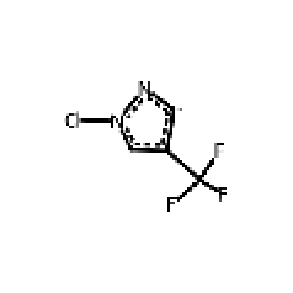 FC(F)(F)c1[c]nn(Cl)c1